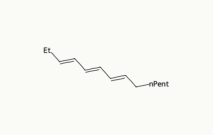 [CH2]CCCCCC=CC=CC=CCC